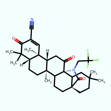 CC1(C)CC[C@@]23CCC4[C@@](C(=O)C[C@H]5[C@]6(C)C=C(C#N)C(=O)C(C)(C)[C@H]6CC[C@]45C)(C2C1)N(CC(F)(F)F)C3=O